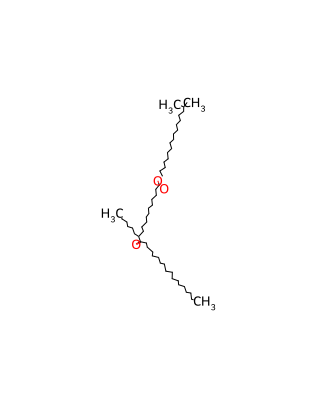 CCCCCCCCCCCCCCCCCC(=O)C(CCCCCC)CCCCCCCCCCC(=O)OCCCCCCCCCCCCCCCC(C)C